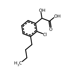 CCCCc1cccc(C(O)C(=O)O)c1Cl